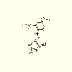 O=C(O)c1cc([N+](=O)[O-])ccc1NCc1ccc(Cl)cc1Cl